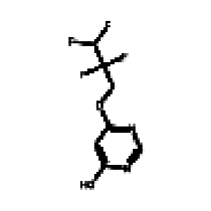 Oc1cc(OCC(F)(F)C(F)F)ncn1